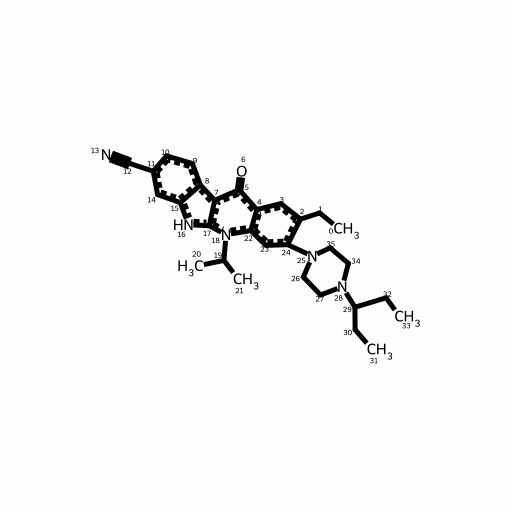 CCc1cc2c(=O)c3c4ccc(C#N)cc4[nH]c3n(C(C)C)c2cc1N1CCN(C(CC)CC)CC1